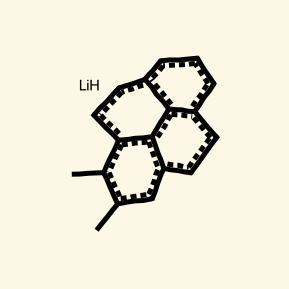 Cc1cc2ccc3cccc4ccc(c1C)c2c34.[LiH]